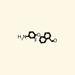 Nc1ccc(Oc2cccc3c(C=O)cccc23)c(F)c1